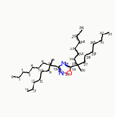 CCCCCCCC(C)(CCCCCC)c1noc(C(C)(CCCCCC)CCCCCCC)n1